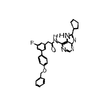 O=C(Cc1cc(F)cc(-c2ccc(OCc3ccccc3)cc2)c1)Nc1ncnc2nc(C3CCCC3)[nH]c12